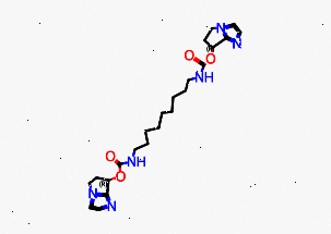 O=C(NCCCCCCCCCNC(=O)O[C@@H]1CCn2ccnc21)O[C@@H]1CCn2ccnc21